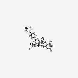 C=CC(=O)Nc1cc(-c2ccc(N3CCNCC3)nc2)cc(C(=O)NCc2c(CC)cc(C)[nH]c2=O)c1C